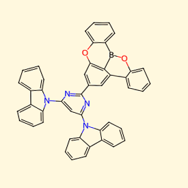 c1ccc2c(c1)Oc1cc(-c3nc(-n4c5ccccc5c5ccccc54)cc(-n4c5ccccc5c5ccccc54)n3)cc3c1B2Oc1ccccc1-3